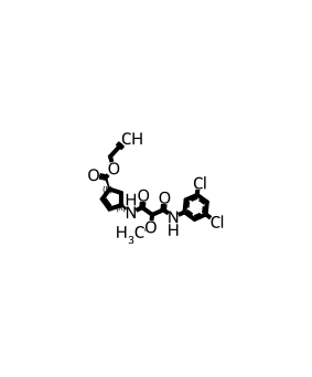 C#CCOC(=O)[C@@H]1C=C[C@H](NC(=O)C(OC)C(=O)Nc2cc(Cl)cc(Cl)c2)C1